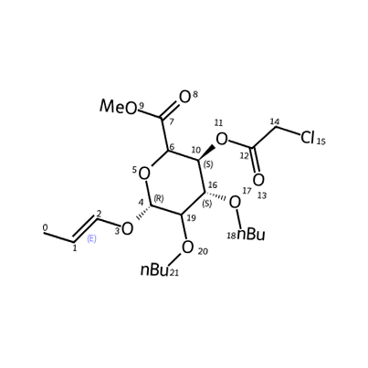 C/C=C/O[C@@H]1OC(C(=O)OC)[C@@H](OC(=O)CCl)[C@H](OCCCC)C1OCCCC